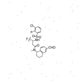 CN(C(=O)CC(NS(=O)(=O)c1cccc(Cl)c1F)C(F)(F)F)C1CCCc2cc(C=O)ccc21